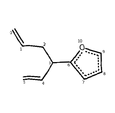 C=CC[C](C=C)c1ccco1